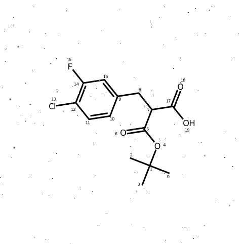 CC(C)(C)OC(=O)C(Cc1ccc(Cl)c(F)c1)C(=O)O